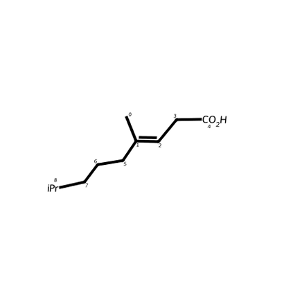 C/C(=C\CC(=O)O)CCCC(C)C